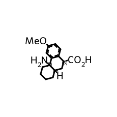 COc1ccc2c(c1)[C@@]1(N)CCCC[C@H]1C[C@@H]2C(=O)O